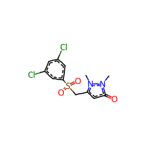 Cn1c(CS(=O)(=O)c2cc(Cl)cc(Cl)c2)cc(=O)n1C